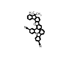 CC1(C)c2ccccc2-c2c1ccc1c2oc2c(C3=CC(C#N)CC=C3n3c4ccccc4c4cc(C#N)ccc43)cccc21